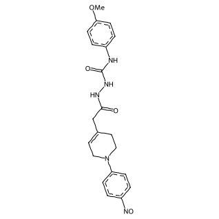 COc1ccc(NC(=O)NNC(=O)CC2=CCN(c3ccc(N=O)cc3)CC2)cc1